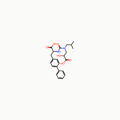 CC(C)CN(CC(O)C(=O)O)C(=O)NC(Cc1ccc(-c2ccccc2)cc1)C(=O)O